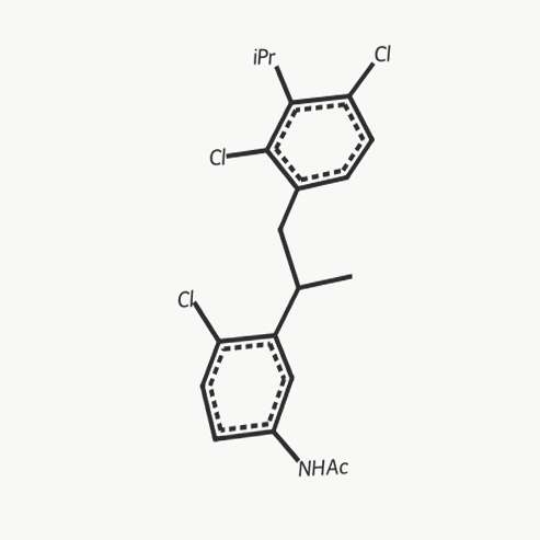 CC(=O)Nc1ccc(Cl)c(C(C)Cc2ccc(Cl)c(C(C)C)c2Cl)c1